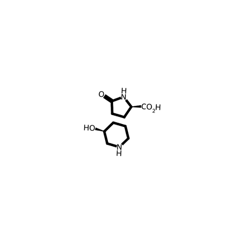 O=C1CC[C@H](C(=O)O)N1.O[C@H]1CCCNC1